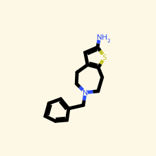 Nc1cc2c(s1)CCN(Cc1ccccc1)CC2